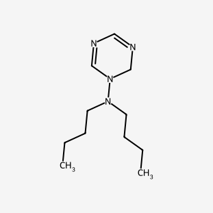 CCCCN(CCCC)N1C=NC=NC1